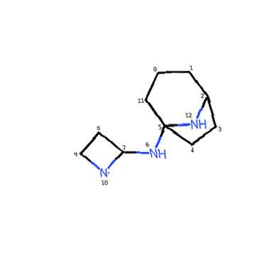 C1CC2CCC(NC3CC[N]3)(C1)N2